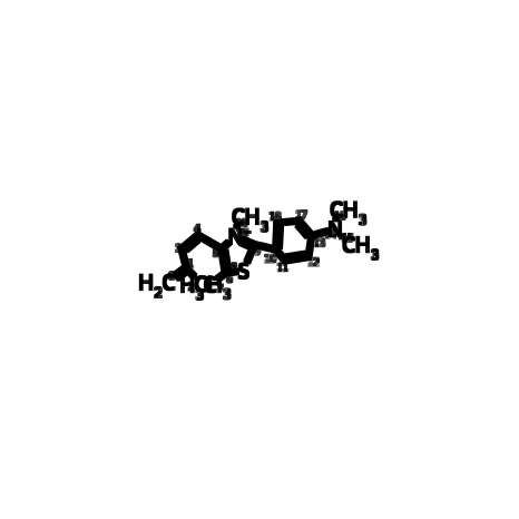 C=C(C)/C=C\c1c(C)sc(-c2ccc(N(C)C)cc2)[n+]1C